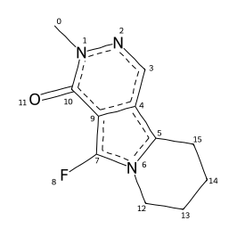 Cn1ncc2c3n(c(F)c2c1=O)CCCC3